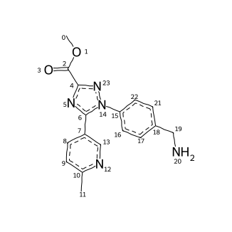 COC(=O)c1nc(-c2ccc(C)nc2)n(-c2ccc(CN)cc2)n1